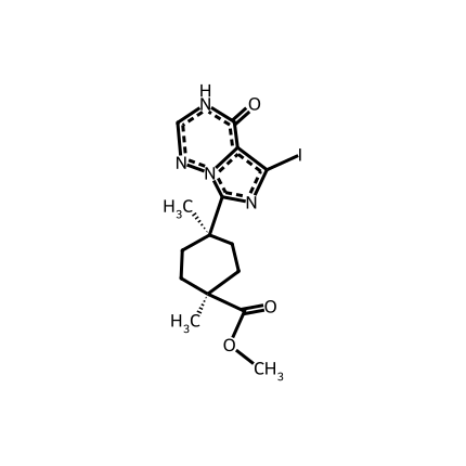 COC(=O)[C@]1(C)CC[C@](C)(c2nc(I)c3c(=O)[nH]cnn32)CC1